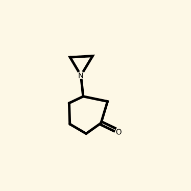 O=C1CCCC(N2CC2)C1